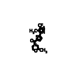 Cc1c(-c2ccc(C(=O)N3CCOC(C)C3)s2)noc1C(F)(F)F